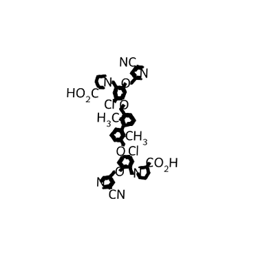 Cc1c(COc2cc(OCc3cncc(C#N)c3)c(CN3CCCC(C(=O)O)C3)cc2Cl)cccc1-c1cccc(COc2cc(OCc3cncc(C#N)c3)c(CN3CCCC(C(=O)O)C3)cc2Cl)c1C